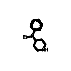 CCN(c1ccccc1)C1CCNCC1